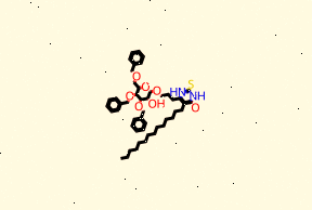 CCCCCCCCCCCCCCc1c(CCCOC2OC(COCc3ccccc3)C(OCc3ccccc3)C(OCc3ccccc3)C2O)[nH]c(=S)[nH]c1=O